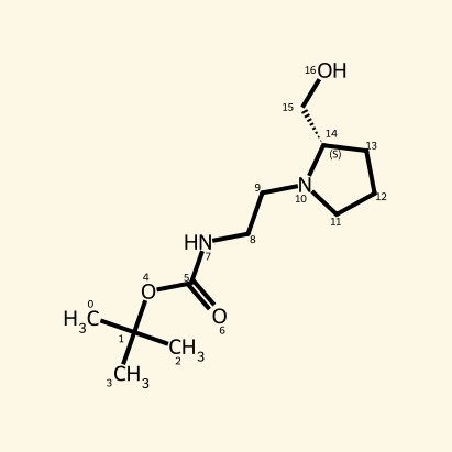 CC(C)(C)OC(=O)NCCN1CCC[C@H]1CO